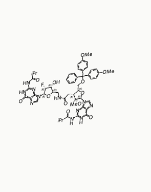 COc1ccc(C(OC[C@H]2O[C@@H](n3cnc4c(=O)[nH]c(NC(=O)C(C)C)nc43)[C@H](OC)[C@@H]2CC(=O)NC[C@H]2O[C@@H](n3cnc4c(=O)[nH]c(NC(=O)C(C)C)nc43)[C@H](F)[C@@H]2O)(c2ccccc2)c2ccc(OC)cc2)cc1